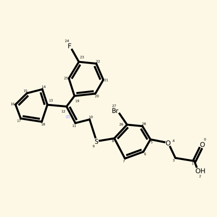 O=C(O)COc1ccc(SC/C=C(/c2ccccc2)c2cccc(F)c2)c(Br)c1